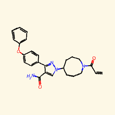 C=CC(=O)N1CCCC(n2cc(C(N)=O)c(-c3ccc(Oc4ccccc4)cc3)n2)CCC1